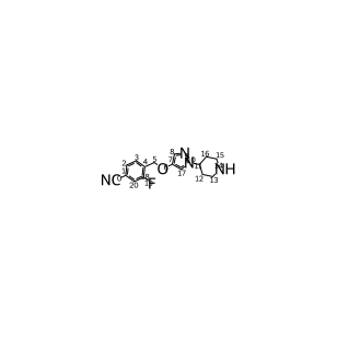 N#Cc1ccc(COc2cnn(C3CCNCC3)c2)c(F)c1